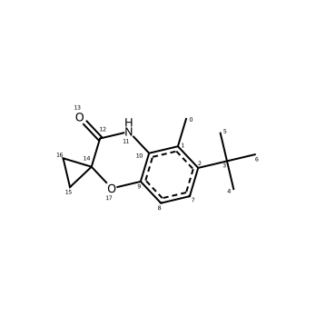 Cc1c(C(C)(C)C)ccc2c1NC(=O)C1(CC1)O2